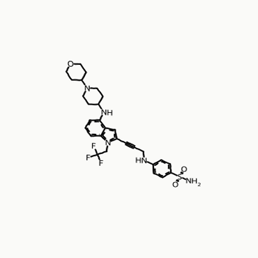 NS(=O)(=O)c1ccc(NCC#Cc2cc3c(NC4CCN(C5CCOCC5)CC4)cccc3n2CC(F)(F)F)cc1